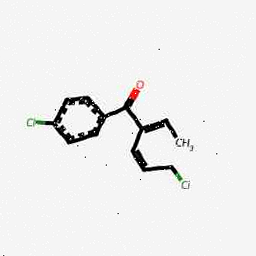 C/C=C(\C=C/CCl)C(=O)c1ccc(Cl)cc1